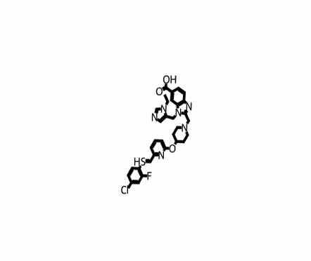 CCn1cncc1Cn1c(CN2CCC(Oc3cccc(C=[SH]c4ccc(Cl)cc4F)n3)CC2)nc2ccc(C(=O)O)cc21